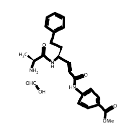 COC(=O)c1ccc(NC(=O)C=C[C@H](CCc2ccccc2)NC(=O)[C@H](C)N)cc1.O=CO